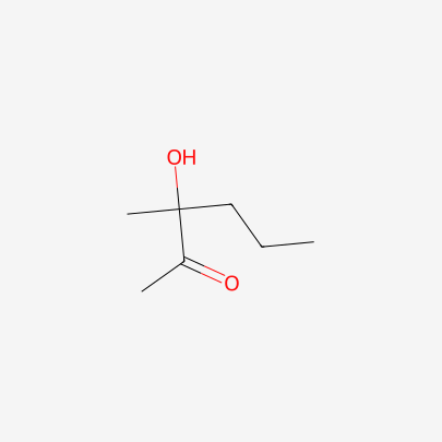 CCCC(C)(O)C(C)=O